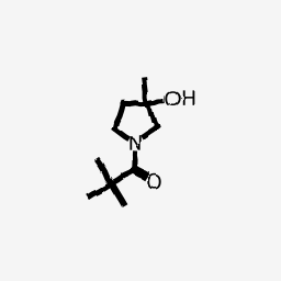 CC1(O)CCN(C(=O)C(C)(C)C)C1